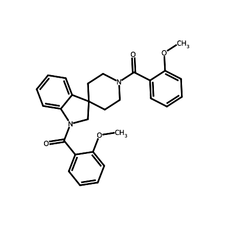 COc1ccccc1C(=O)N1CCC2(CC1)CN(C(=O)c1ccccc1OC)c1ccccc12